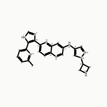 Cc1cccc(-c2[nH]cnc2-c2ccc3ncc(Nc4cnn(C5CNC5)c4)cc3n2)n1